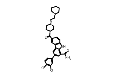 NC(=O)c1cc(-c2ccc(Cl)c(Cl)c2)cc2c1[nH]c1ccc(C(=O)N3CCN(CCN4CCCCC4)CC3)cc12